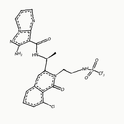 C[C@H](NC(=O)c1c(N)nn2cccnc12)c1cc2cccc(Cl)c2c(=O)n1CCNS(=O)(=O)C(F)(F)F